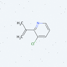 C=C(C)c1ncccc1Cl